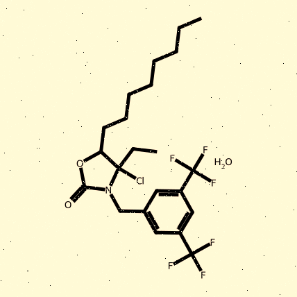 CCCCCCCCC1OC(=O)N(Cc2cc(C(F)(F)F)cc(C(F)(F)F)c2)C1(Cl)CC.O